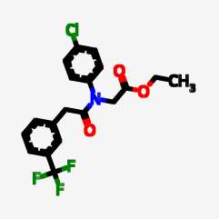 CCOC(=O)CN(C(=O)Cc1cccc(C(F)(F)F)c1)c1ccc(Cl)cc1